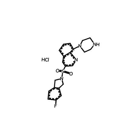 Cl.O=S(=O)(c1cnc2c(N3CCNCC3)cccc2c1)N1Cc2ccc(F)cc2C1